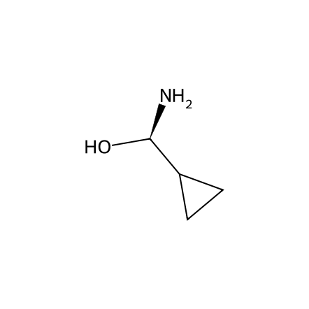 N[C@H](O)C1CC1